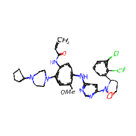 C=CC(=O)Nc1cc(Nc2cc(N3OCCC3c3cccc(Cl)c3Cl)ncn2)c(OC)cc1N1CCN(C2CCCC2)CC1